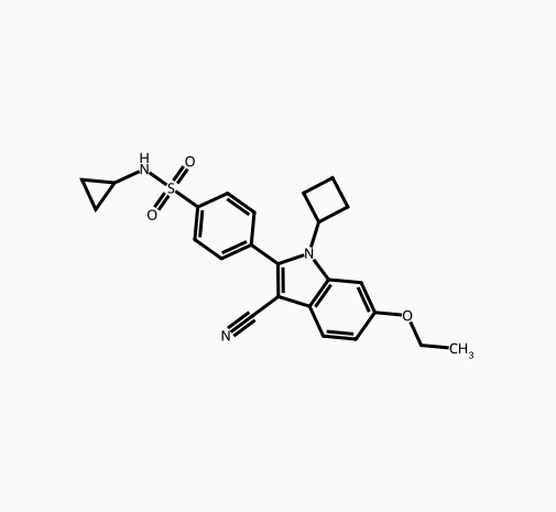 CCOc1ccc2c(C#N)c(-c3ccc(S(=O)(=O)NC4CC4)cc3)n(C3CCC3)c2c1